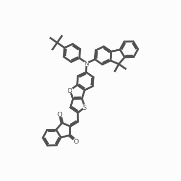 CC(C)(C)c1ccc(N(c2ccc3c(c2)C(C)(C)c2ccccc2-3)c2ccc3c(c2)oc2cc(C=C4C(=O)c5ccccc5C4=O)sc23)cc1